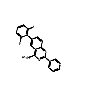 CNc1nc(-c2cccnc2)nc2ccc(-c3c(F)cccc3F)cc12